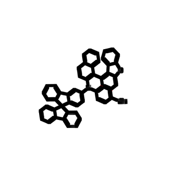 CC(C)(C)c1ccc(N(c2ccc3c(c2)-c2ccccc2C32c3ccccc3-c3ccccc32)c2ccc3ccccc3c2-c2cccc3oc4ccccc4c23)cc1